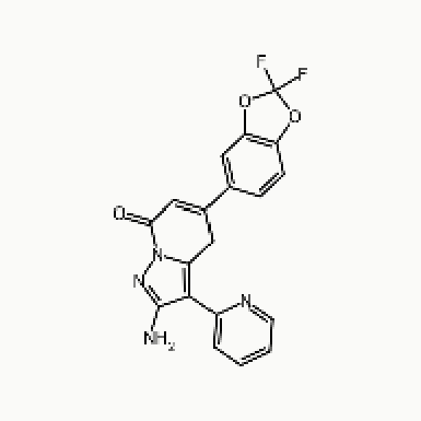 Nc1nn2c(c1-c1ccccn1)CC(c1ccc3c(c1)OC(F)(F)O3)=CC2=O